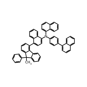 CC1(c2ccccc2)c2ccccc2-c2c(-c3ccc(N(c4ccc(-c5cccc6ccccc56)cc4)c4cccc5ccccc45)c4ccccc34)cccc21